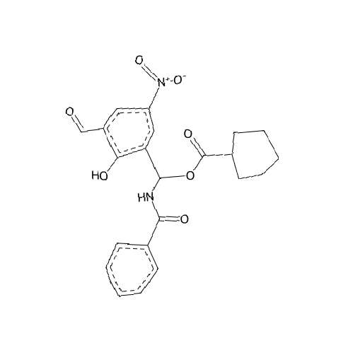 O=Cc1cc([N+](=O)[O-])cc(C(NC(=O)c2ccccc2)OC(=O)C2CCCCC2)c1O